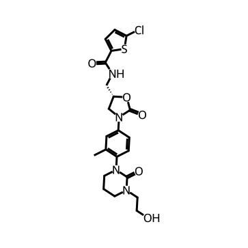 Cc1cc(N2C[C@H](CNC(=O)c3ccc(Cl)s3)OC2=O)ccc1N1CCCN(CCO)C1=O